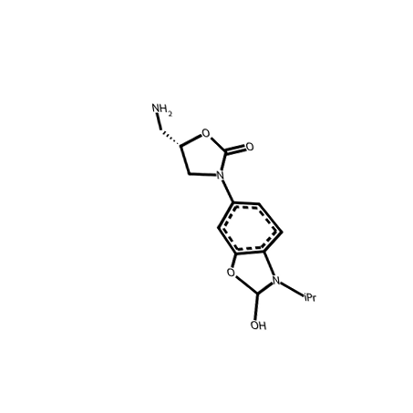 CC(C)N1c2ccc(N3C[C@H](CN)OC3=O)cc2OC1O